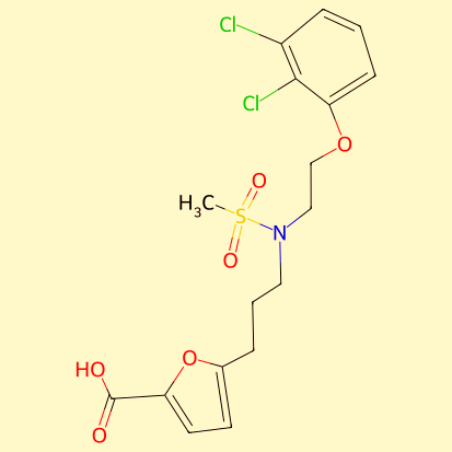 CS(=O)(=O)N(CCCc1ccc(C(=O)O)o1)CCOc1cccc(Cl)c1Cl